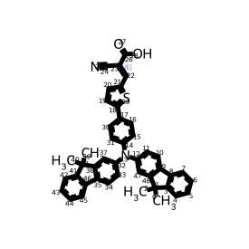 CC1(C)c2ccccc2-c2ccc(N(c3ccc(-c4ccc(/C=C(\C#N)C(=O)O)s4)cc3)c3ccc4c(c3)C(C)(C)c3ccccc3-4)cc21